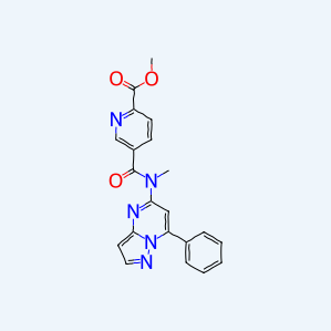 COC(=O)c1ccc(C(=O)N(C)c2cc(-c3ccccc3)n3nccc3n2)cn1